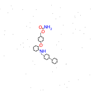 NC(=O)OCc1ccc(Oc2ccccc2NCc2ccc(-c3ccccc3)cc2)cc1